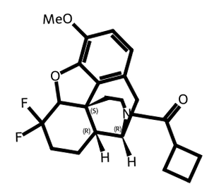 COc1ccc2c3c1OC1C(F)(F)CC[C@H]4[C@@H](C2)N(C(=O)C2CCC2)CC[C@]314